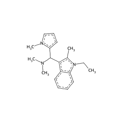 CCn1c(C)c(C(c2cccn2C)N(C)C)c2ccccc21